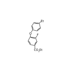 CCOC(=O)c1ccc(Oc2ccc(CC)cc2)c(F)c1